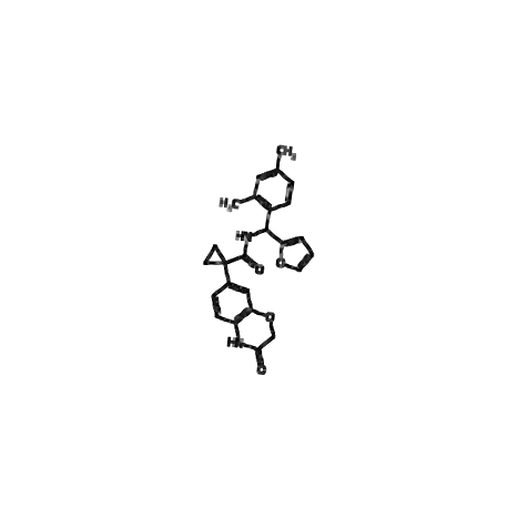 Cc1ccc(C(NC(=O)C2(c3ccc4c(c3)OCC(=O)N4)CC2)c2ccco2)c(C)c1